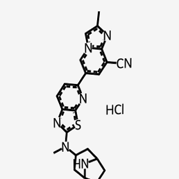 Cc1cn2cc(-c3ccc4nc(N(C)C5CC6CCC(C5)N6)sc4n3)cc(C#N)c2n1.Cl